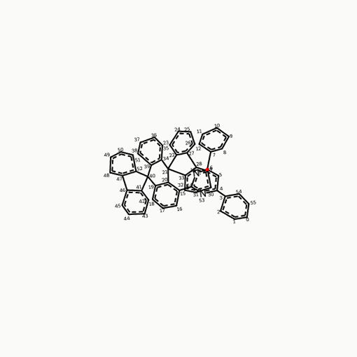 c1ccc(-c2cc(-c3ccccc3)nc(-c3cccc4c3C3(c5ccccc5-c5ccccc53)c3ccccc3C43c4ccccc4-c4ccccc43)n2)cc1